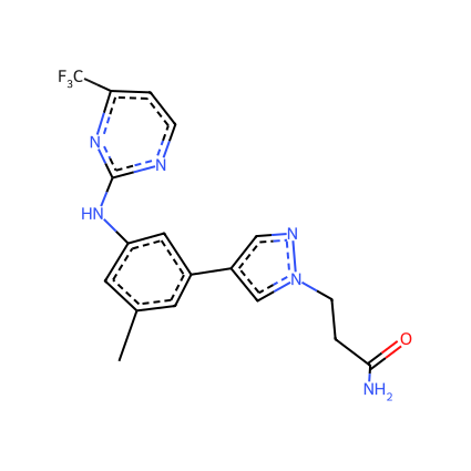 Cc1cc(Nc2nccc(C(F)(F)F)n2)cc(-c2cnn(CCC(N)=O)c2)c1